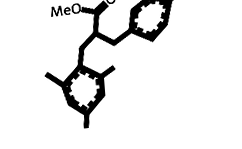 Bc1ccc(CC(Cc2c(C)cc(C)cc2C)C(=O)OC)cc1